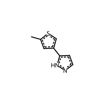 Cc1cc(-c2ccn[nH]2)cs1